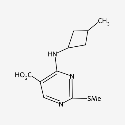 CSc1ncc(C(=O)O)c(NC2CC(C)C2)n1